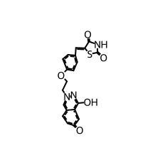 O=C1NC(=O)C(=Cc2ccc(OCCn3cc4ccc(=O)cc-4c(O)n3)cc2)S1